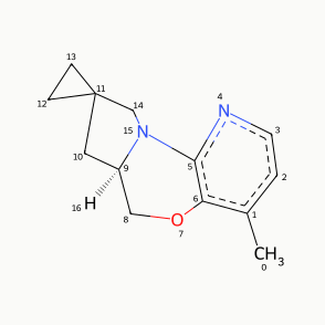 Cc1ccnc2c1OC[C@H]1CC3(CC3)CN21